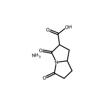 N.O=C(O)C1CC2CCC(=O)N2C1=O